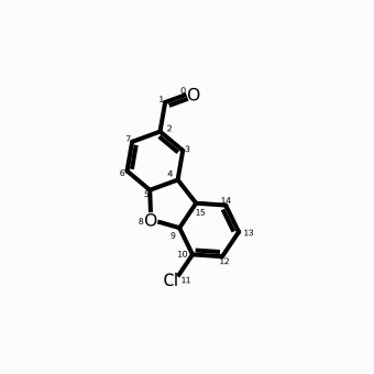 O=[C]C1=CC2C(C=C1)OC1C(Cl)=CC=CC12